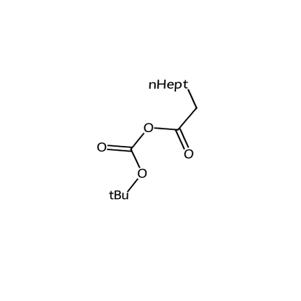 CCCCCCCCC(=O)OC(=O)OC(C)(C)C